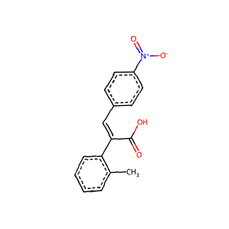 Cc1ccccc1C(=Cc1ccc([N+](=O)[O-])cc1)C(=O)O